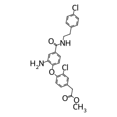 COC(=O)Cc1ccc(Oc2ccc(C(=O)NCCc3ccc(Cl)cc3)cc2N)c(Cl)c1